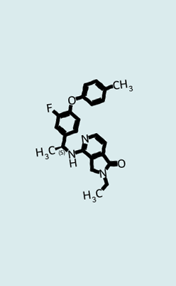 CCN1Cc2c(ccnc2N[C@@H](C)c2ccc(Oc3ccc(C)cc3)c(F)c2)C1=O